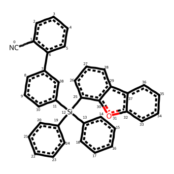 N#Cc1ccccc1-c1cccc([Si](c2ccccc2)(c2ccccc2)c2cccc3c2oc2ccccc23)c1